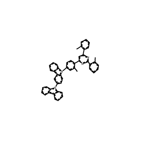 Cc1ccccc1-c1cc(-c2ccc(-n3c4ccccc4c4cc(-n5c6ccccc6c6ccccc65)ccc43)cc2C)nc(-c2ccccc2C)n1